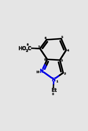 CCn1cc2cccc(C(=O)O)c2n1